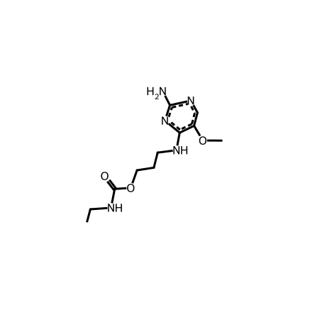 CCNC(=O)OCCCNc1nc(N)ncc1OC